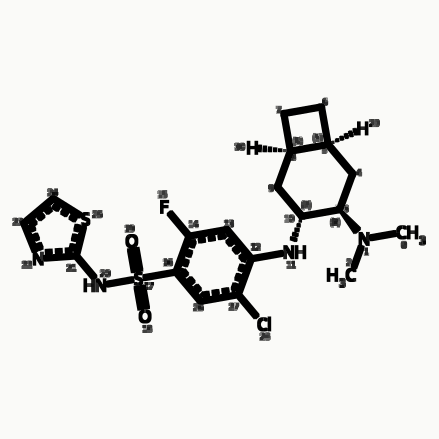 CN(C)[C@@H]1C[C@@H]2CC[C@@H]2C[C@H]1Nc1cc(F)c(S(=O)(=O)Nc2nccs2)cc1Cl